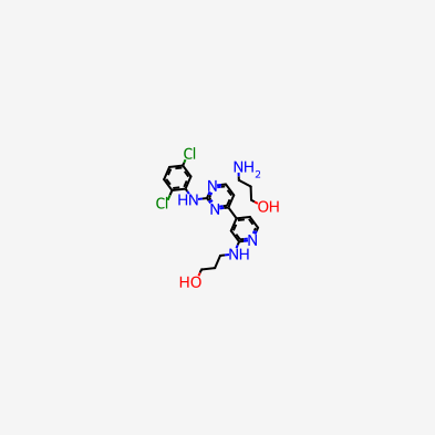 NCCCO.OCCCNc1cc(-c2ccnc(Nc3cc(Cl)ccc3Cl)n2)ccn1